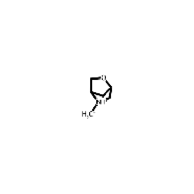 [CH2-][NH+]1CC2CC1CO2